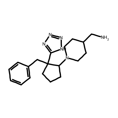 NCC1CCN(C2CCCC2(Cc2ccccc2)c2nnn[nH]2)CC1